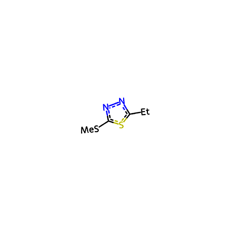 CCc1nnc(SC)s1